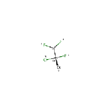 [CH2]C[C@@](F)(Cl)[C](F)F